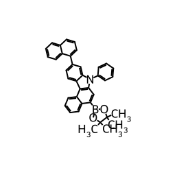 CC1(C)OB(c2cc3c(c4ccccc24)c2ccc(-c4cccc5ccccc45)cc2n3-c2ccccc2)OC1(C)C